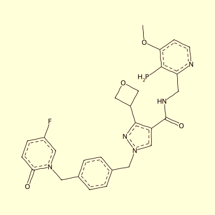 COc1ccnc(CNC(=O)c2cn(Cc3ccc(Cn4cc(F)ccc4=O)cc3)nc2C2COC2)c1P